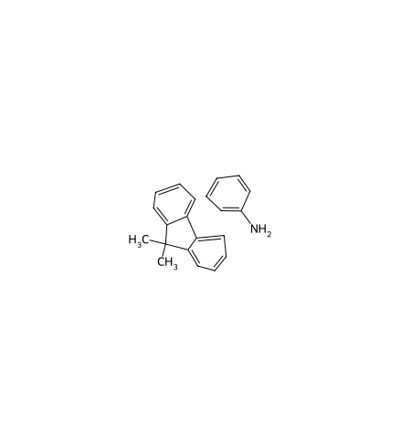 CC1(C)c2ccccc2-c2ccccc21.Nc1ccccc1